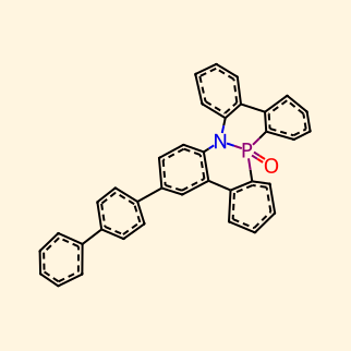 O=P12c3ccccc3-c3ccccc3N1c1ccc(-c3ccc(-c4ccccc4)cc3)cc1-c1ccccc12